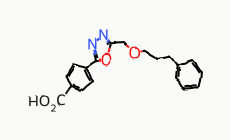 O=C(O)c1ccc(-c2nnc(COCCCc3ccccc3)o2)cc1